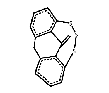 C=C1c2c3cccc2SSSc2cccc(c21)C3